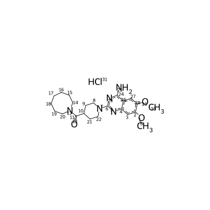 COc1cc2nc(N3CCC(C(=O)N4CCCCCCC4)CC3)nc(N)c2cc1OC.Cl